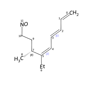 C=C/C=C/C=C(/CC)[C@H](C)CCN=O